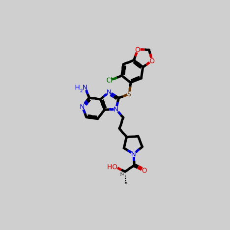 C[C@H](O)C(=O)N1CCC(CCn2c(Sc3cc4c(cc3Cl)OCO4)nc3c(N)nccc32)C1